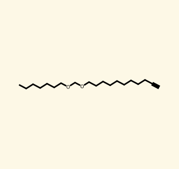 C#CCCCCCCCCCOCOCCCCCCC